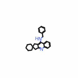 c1ccc(CNc2c3c(nc4ccccc24)CC2(CCCCC2)C3)cc1